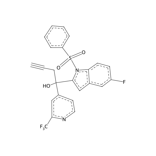 C#CCC(O)(c1ccnc(C(F)(F)F)c1)c1cc2cc(F)ccc2n1S(=O)(=O)c1ccccc1